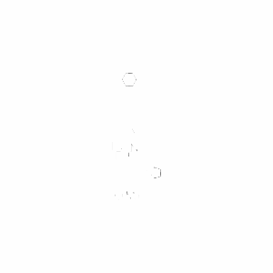 COC(=O)Oc1ccc(CCCN2C(=O)C(F)(F)C[C@@H]2/C=C/[C@@H](O)CCCCc2ccccc2)s1